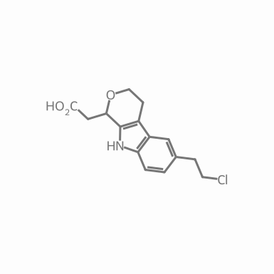 O=C(O)CC1OCCc2c1[nH]c1ccc(CCCl)cc21